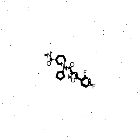 CN(C)C(=O)[C@@H]1CCCN(N(C(=O)c2cc(-c3ccc(F)cc3F)on2)C2CCCC2)C1